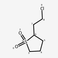 O=S1(=O)CCCC1CCCl